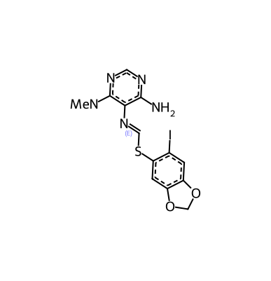 CNc1ncnc(N)c1/N=C/Sc1cc2c(cc1I)OCO2